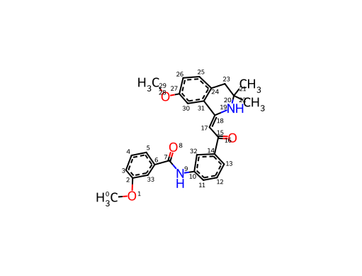 COc1cccc(C(=O)Nc2cccc(C(=O)/C=C3\NC(C)(C)Cc4ccc(OC)cc43)c2)c1